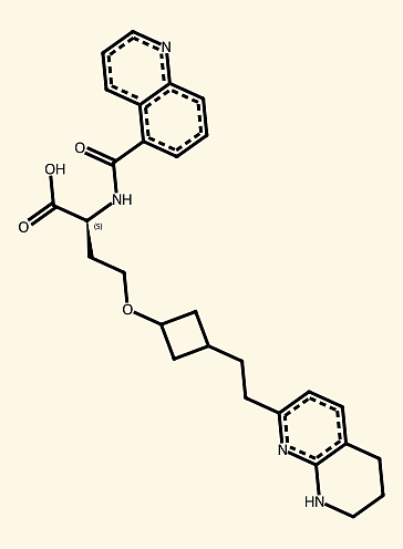 O=C(N[C@@H](CCOC1CC(CCc2ccc3c(n2)NCCC3)C1)C(=O)O)c1cccc2ncccc12